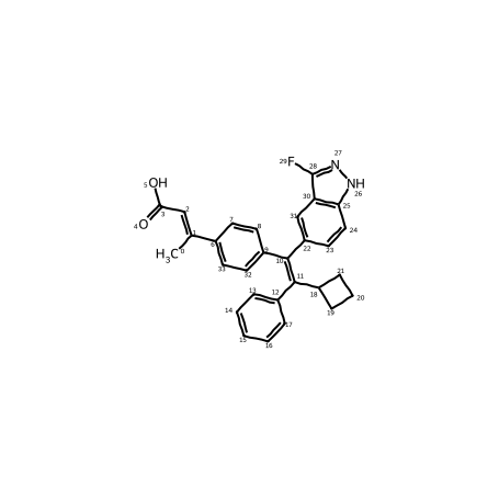 C/C(=C\C(=O)O)c1ccc(/C(=C(\c2ccccc2)C2CCC2)c2ccc3[nH]nc(F)c3c2)cc1